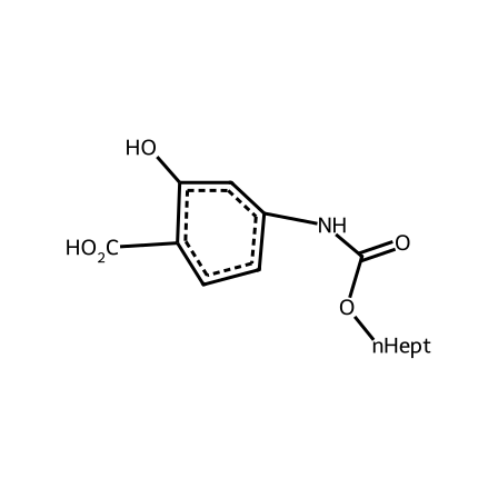 CCCCCCCOC(=O)Nc1ccc(C(=O)O)c(O)c1